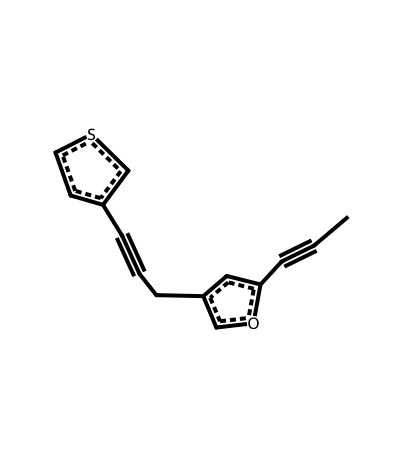 CC#Cc1cc(CC#Cc2ccsc2)co1